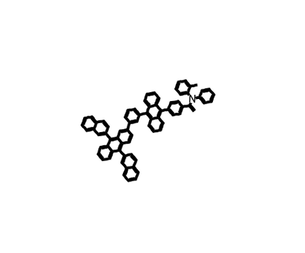 C=C(c1ccc(-c2c3ccccc3c(-c3cccc(-c4ccc5c(-c6ccc7ccccc7c6)c6ccccc6c(-c6ccc7ccccc7c6)c5c4)c3)c3ccccc23)cc1)N(c1ccccc1)c1ccccc1C